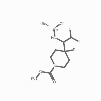 CC(C)(C)OC(=O)N1CCC(F)(C(N[S@@+]([O-])C(C)(C)C)C(F)F)CC1